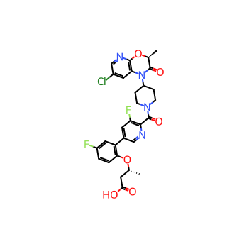 C[C@H](CC(=O)O)Oc1ccc(F)cc1-c1cnc(C(=O)N2CCC(N3C(=O)[C@H](C)Oc4ncc(Cl)cc43)CC2)c(F)c1